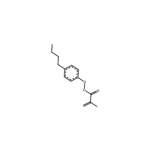 C=C(C)C(=O)OOc1ccc(CCCC)cc1